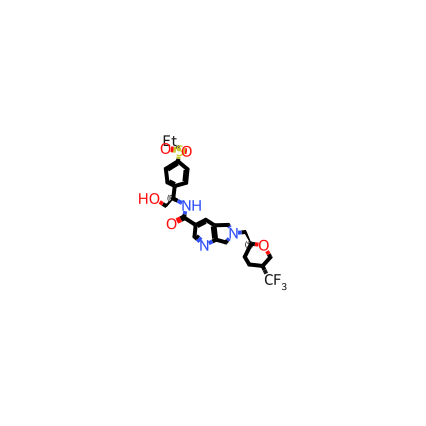 CCS(=O)(=O)c1ccc([C@H](CO)NC(=O)c2cnc3c(c2)CN(C[C@@H]2CCC(C(F)(F)F)CO2)C3)cc1